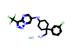 Cl.NCC1(c2cccc(Cl)c2)CCC(Nc2cnc3c(C(F)(F)F)nnn3c2)CC1